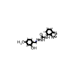 Cc1ccc(/C=N/NC(=O)Nc2cccc3nsnc23)c(O)c1